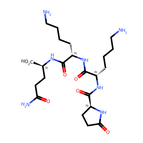 NCCCC[C@H](NC(=O)[C@H](CCCCN)NC(=O)[C@@H]1CCC(=O)N1)C(=O)N[C@@H](CCC(N)=O)C(=O)O